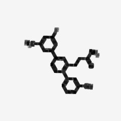 Cc1cc(F)cc(-c2ccc(-c3cccc(O)c3)c(CCC(N)=O)c2)c1